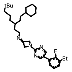 CCc1cccc(-c2cnc(N3CC(=NCCC(CCCC(C)(C)C)CCC4CCCCC4)C3)nc2)c1F